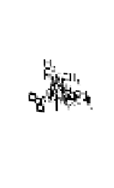 C=CCOC(=O)[C@H](CC(C)C)NC(=O)[C@H](CNC(=O)OC(C)(C)C)NC(=O)OCC1c2ccccc2-c2ccccc21